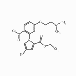 CCOC(=O)c1cc(Br)cn1-c1cc(OCCN(C)C)ccc1[N+](=O)[O-]